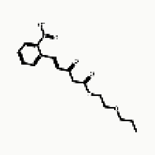 CCCOCCOC(=O)CC(=O)C=Cc1ccccc1[N+](=O)[O-]